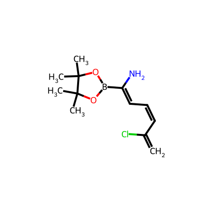 C=C(Cl)/C=C\C=C(/N)B1OC(C)(C)C(C)(C)O1